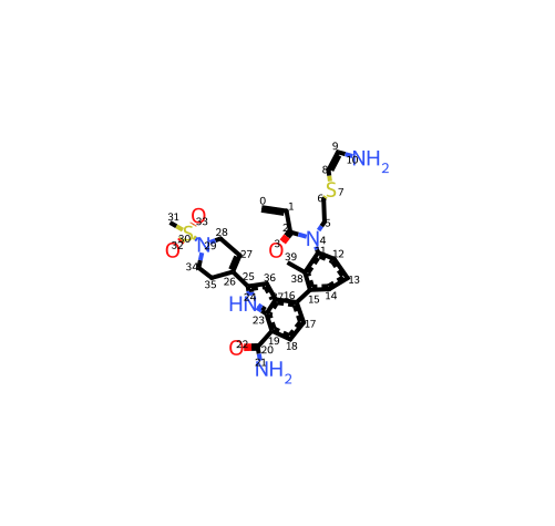 C=CC(=O)N(CCS/C=C\N)c1cccc(-c2ccc(C(N)=O)c3[nH]c(C4=CCN(S(C)(=O)=O)CC4)cc23)c1C